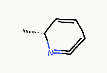 C[C@@H]1C=CC=C=N1